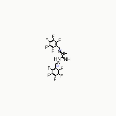 N=C(N/N=C/c1c(F)c(F)c(F)c(F)c1F)N/N=C/c1c(F)c(F)c(F)c(F)c1F